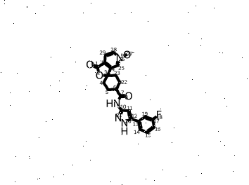 O=C1OC2(CCC(C(=O)Nc3cc(-c4cccc(F)c4)[nH]n3)CC2)c2c[n+]([O-])ccc21